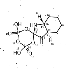 O=P1(O)OC2(N[C@@H]3CCCC[C@H]3N2)OP(=O)(O)O1